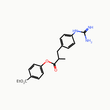 CCOC(=O)c1ccc(OC(=O)C(C)Cc2ccc(NC(=N)N)cc2)cc1